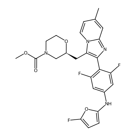 COC(=O)N1CCO[C@@H](Cc2c(-c3c(F)cc(Nc4ccc(F)o4)cc3F)nc3cc(C)ccn23)C1